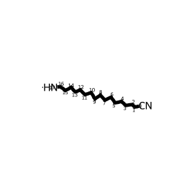 N#CCCCCCCCCCCCCCCCC[NH]